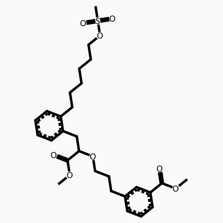 COC(=O)c1cccc(CCCOC(Cc2ccccc2CCCCCCOS(C)(=O)=O)C(=O)OC)c1